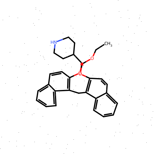 CCOCOc1ccc2ccccc2c1Cc1c(OCC2CCNCC2)ccc2ccccc12